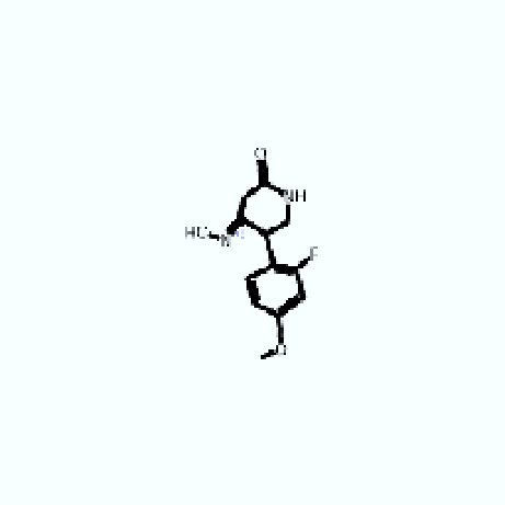 COc1ccc(C2CNC(=O)C/C2=N\O)c(F)c1